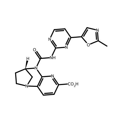 Cc1ncc(-c2ccnc(NC(=O)N3c4nc(C(=O)O)ccc4N4CC[C@H]3C4)n2)o1